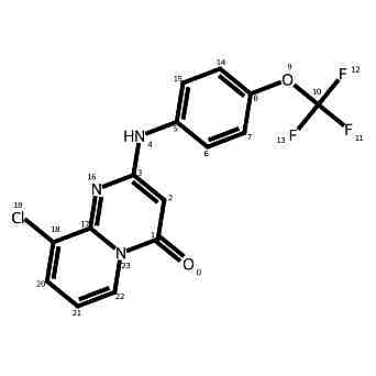 O=c1cc(Nc2ccc(OC(F)(F)F)cc2)nc2c(Cl)cccn12